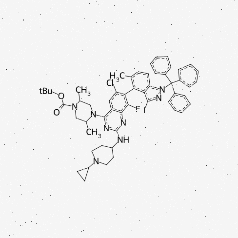 Cc1ccc2c(c(I)nn2C(c2ccccc2)(c2ccccc2)c2ccccc2)c1-c1c(Cl)cc2c(N3CC(C)N(C(=O)OC(C)(C)C)CC3C)nc(NC3CCN(C4CC4)CC3)nc2c1F